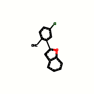 O=Cc1ccc(Cl)cc1-c1cc2ccccc2o1